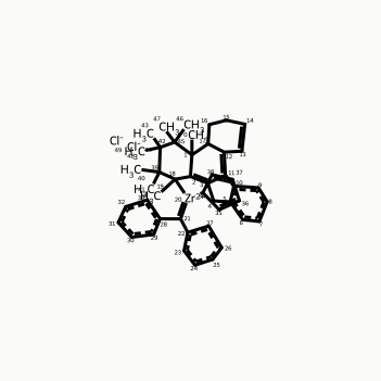 CC12C(=C3Cc4ccccc4C3=C3C=CCCC31)[C](C)([Zr+2](=[C](c1ccccc1)c1ccccc1)[CH]1C=CC=C1)C(C)(C)C(C)(C)C2(C)C.[Cl-].[Cl-]